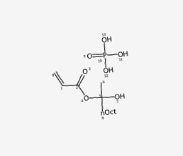 C=CC(=O)OC(C)(O)CCCCCCCC.O=P(O)(O)O